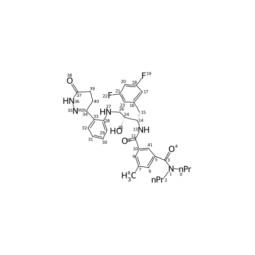 CCCN(CCC)C(=O)c1cc(C)cc(C(=O)N[C@@H](Cc2cc(F)cc(F)c2)[C@H](O)CNc2ccccc2C2=NNC(=O)CC2)c1